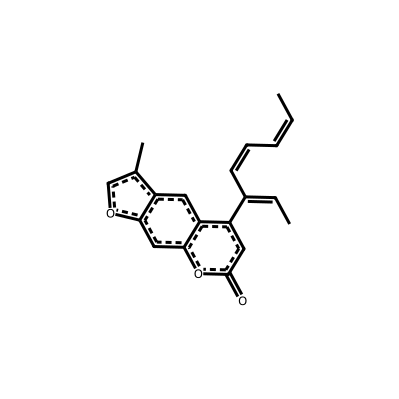 C\C=C/C=C\C(=C\C)c1cc(=O)oc2cc3occ(C)c3cc12